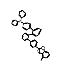 Cc1cccc2oc(-c3ccc(-c4ccccc4-c4ccccc4-c4ccc(N(c5ccccc5)c5ccccc5)cc4)cc3)nc12